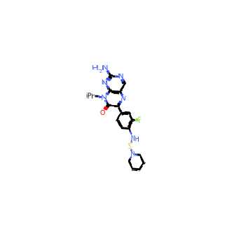 CC(C)n1c(=O)c(-c2ccc(NSN3CCCCC3)c(F)c2)nc2cnc(N)nc21